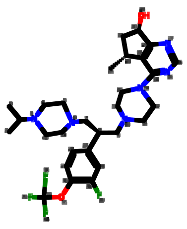 CC(C)N1CCN(C[C@@H](CN2CCN(c3ncnc4c3[C@H](C)C[C@H]4O)CC2)c2ccc(OC(F)(F)F)c(F)c2)CC1